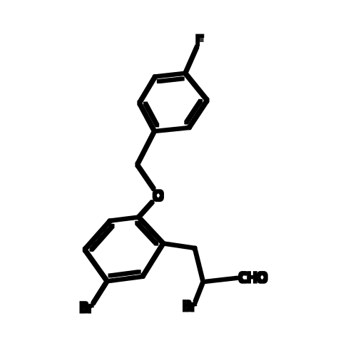 O=CC(Br)Cc1cc(Br)ccc1OCc1ccc(F)cc1